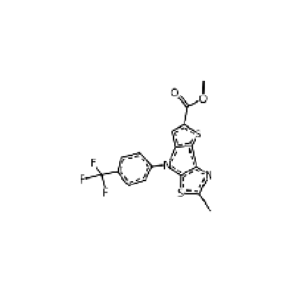 COC(=O)c1cc2c(s1)c1nc(C)sc1n2-c1ccc(C(F)(F)F)cc1